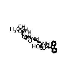 CC(C)(C)OC(=O)CN1CC[C@@H](NC(=O)NCCCC[C@@H](NC(=O)OCC2c3ccccc3-c3ccccc32)C(=O)O)C1